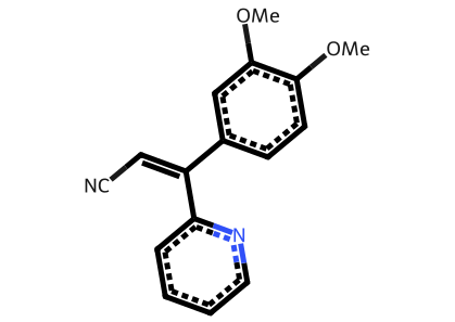 COc1ccc(C(=CC#N)c2ccccn2)cc1OC